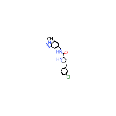 Cn1nnc2cc(CNC(=O)[C@@H]3C[C@H](Cc4cccc(Cl)c4)CN3)ccc21